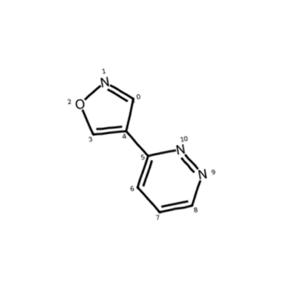 [c]1nocc1-c1cccnn1